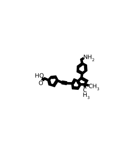 CC1(C)C=C(c2ccc(CN)cc2)c2cc(C#Cc3ccc(C(=O)O)cc3)ccc21